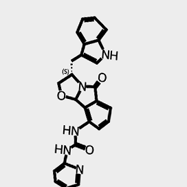 O=C(Nc1ccccn1)Nc1cccc2c1C1OC[C@H](Cc3c[nH]c4ccccc34)N1C2=O